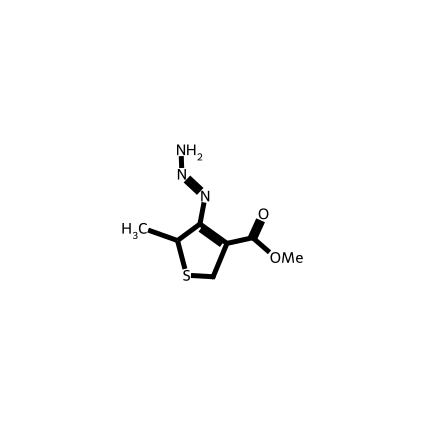 COC(=O)C1=C(N=NN)C(C)SC1